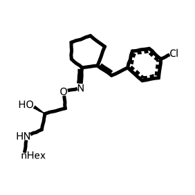 CCCCCCNC[C@@H](O)CO/N=C1\CCCC\C1=C/c1ccc(Cl)cc1